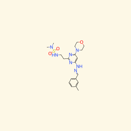 Cc1cccc(/C=N/Nc2cc(N3CCOCC3)nc(CCNS(=O)(=O)N(C)C)n2)c1